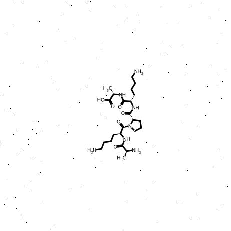 C[C@H](N)C(=O)N[C@@H](CCCCN)C(=O)N1CCC[C@H]1C(=O)N[C@@H](CCCCN)C(=O)N[C@@H](C)C(=O)O